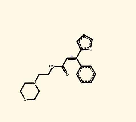 O=C(/C=C(\c1ccccc1)c1cccs1)NCCN1CCOCC1